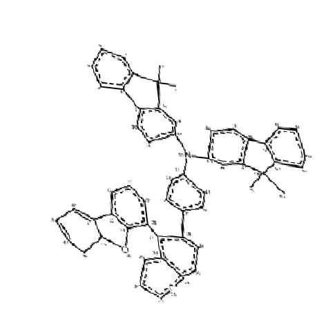 CC1(C)c2ccccc2-c2ccc(N(c3ccc(-c4ccc5ccccc5c4-c4cccc5c4OC4CC=CC=C54)cc3)c3ccc4c(c3)C(C)(C)c3ccccc3-4)cc21